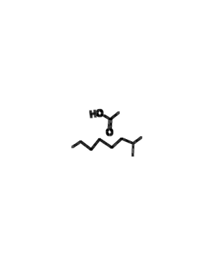 CC(=O)O.CCCCCCC(C)C